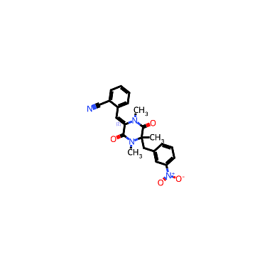 CN1C(=O)C(C)(Cc2cccc([N+](=O)[O-])c2)N(C)C(=O)/C1=C/c1ccccc1C#N